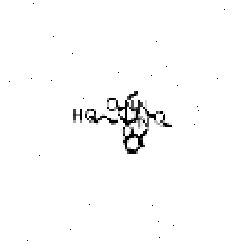 CCOc1nc2c(c(=O)n(CCCO)c(=O)n2CC)n1Cc1ccccc1